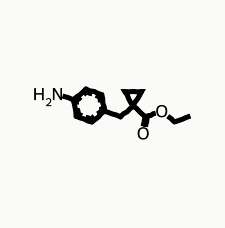 CCOC(=O)C1(Cc2ccc(N)cc2)CC1